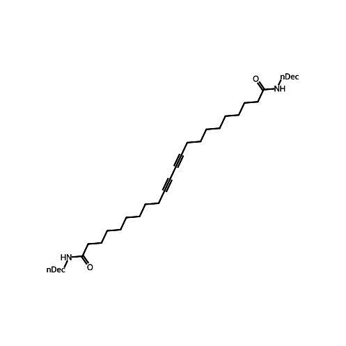 CCCCCCCCCCNC(=O)CCCCCCCCC#CC#CCCCCCCCCC(=O)NCCCCCCCCCC